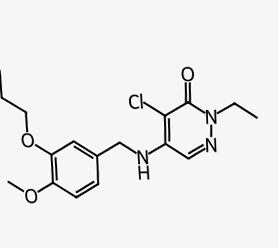 CCCOc1cc(CNc2cnn(CC)c(=O)c2Cl)ccc1OC